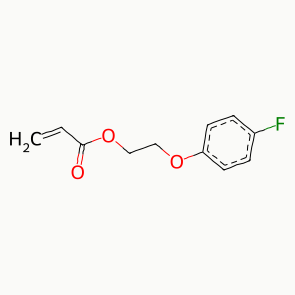 C=CC(=O)OCCOc1ccc(F)cc1